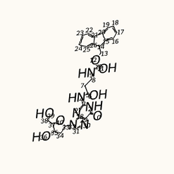 O=c1[nH]c(NC(O)CCNC(O)OCC2c3ccccc3-c3ccccc32)nc2c1ncn2C1CC(O)C(CO)O1